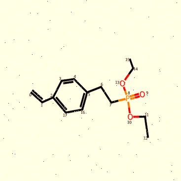 C=Cc1ccc(CCP(=O)(OCC)OCC)cc1